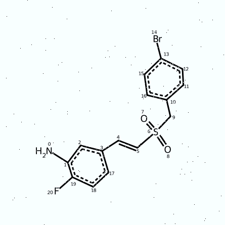 Nc1cc(C=CS(=O)(=O)Cc2ccc(Br)cc2)ccc1F